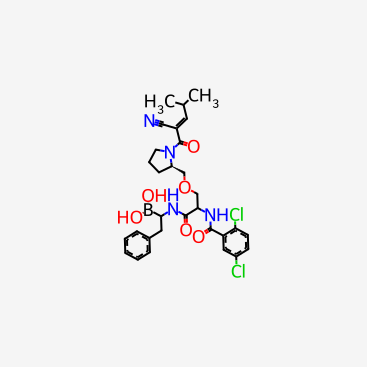 CC(C)C=C(C#N)C(=O)N1CCC[C@@H]1COCC(NC(=O)c1cc(Cl)ccc1Cl)C(=O)NC(Cc1ccccc1)B(O)O